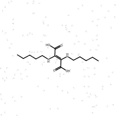 CCCCCN/C(C(=O)O)=C(/NCCCCC)C(=O)O